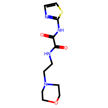 O=C(NCCN1CCOCC1)C(=O)Nc1nccs1